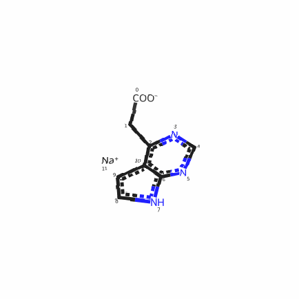 O=C([O-])Cc1ncnc2[nH]ccc12.[Na+]